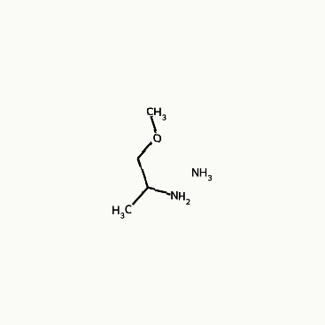 COCC(C)N.N